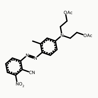 CC(=O)OCCN(CCOC(C)=O)c1ccc(N=Nc2cccc([N+](=O)[O-])c2C#N)c(C)c1